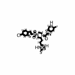 CC1Cc2nc(C(=O)N3CCN(S(=O)(=O)c4cc5ccc(Cl)cc5s4)CC3CCC3NOC(=S)N3)sc2CN1